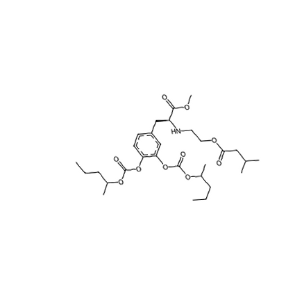 CCCC(C)OC(=O)Oc1ccc(C[C@H](NCCOC(=O)CC(C)C)C(=O)OC)cc1OC(=O)OC(C)CCC